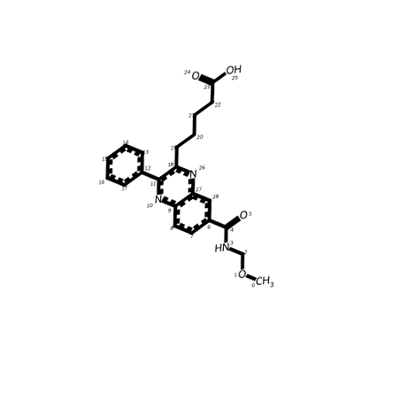 COCNC(=O)c1ccc2nc(-c3ccccc3)c(CCCCC(=O)O)nc2c1